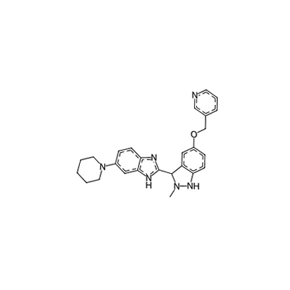 CN1Nc2ccc(OCc3cccnc3)cc2C1c1nc2ccc(N3CCCCC3)cc2[nH]1